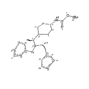 C[C@@H](C1CCC(NC(=O)OC(C)(C)C)CC1)N(Cc1ccccc1)Cc1ccccc1